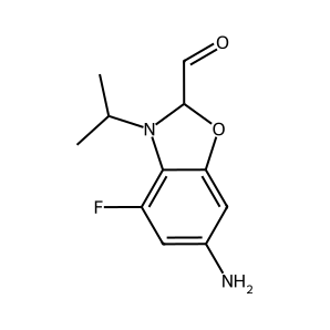 CC(C)N1c2c(F)cc(N)cc2OC1C=O